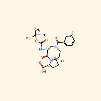 CC(C)(C)OC(=O)N[C@H]1CN(C(=O)c2cccc(F)c2)CC[C@H]2CC[C@@H](C(=O)O)N2C1=O